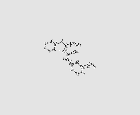 CCOC(=O)[C@H](Cc1ccccc1)NC(=O)Nc1cccc(C)c1